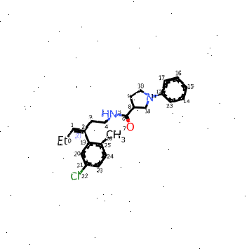 CC/C=C(/CCNC(=O)C1CCN(c2ccccc2)C1)c1cc(Cl)ccc1C